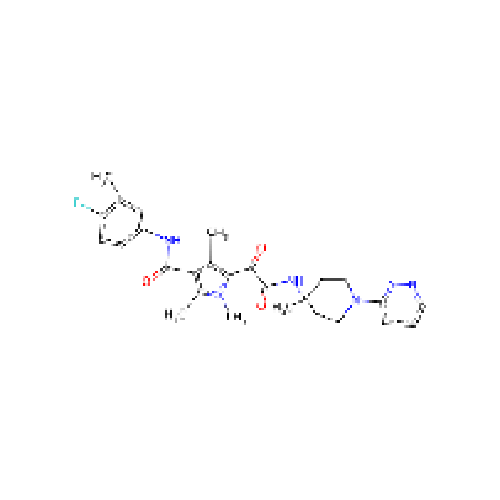 Cc1cc(NC(=O)c2c(C)c(C(=O)C(=O)NC3(C)CCN(c4cccnn4)CC3)n(C)c2C)ccc1F